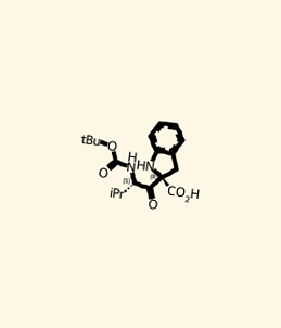 CC(C)[C@H](NC(=O)OC(C)(C)C)C(=O)[C@@]1(C(=O)O)Cc2ccccc2N1